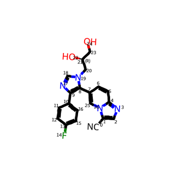 N#Cc1cnc2ccc(-c3c(-c4ccc(F)cc4)ncn3C[C@@H](O)CO)cn12